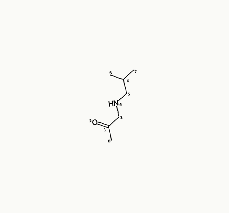 CC(=O)CNCC(C)C